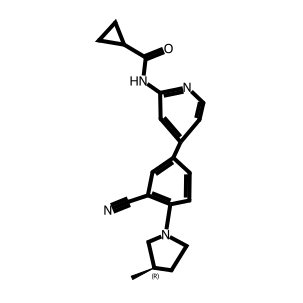 C[C@@H]1CCN(c2ccc(-c3ccnc(NC(=O)C4CC4)c3)cc2C#N)C1